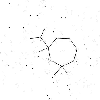 CCC(CC)C1(CC)BC(C)(CC)CCCC1